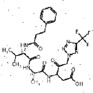 CC(C)[C@H](NC(=O)CCc1ccccc1)C(=O)N[C@@H](C)C(=O)NC(CC(=O)O)C(=O)Cn1nnc(C(F)(F)F)n1